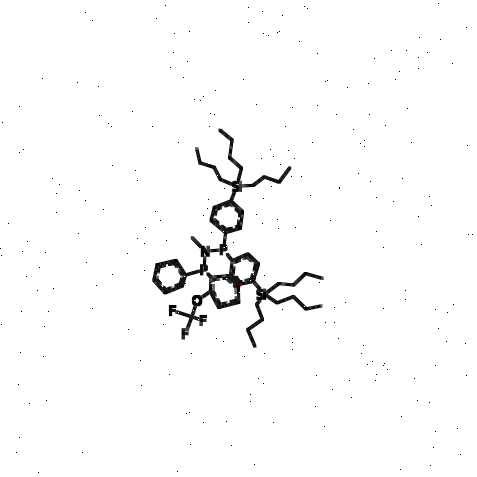 CCCC[Si](CCCC)(CCCC)c1ccc(P(c2ccc([Si](CCCC)(CCCC)CCCC)cc2)N(C)P(c2ccccc2)c2ccccc2OC(F)(F)F)cc1